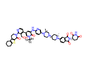 [2H]C([2H])([2H])n1cc(-c2ccnc(N3CCc4c(sc5c4CCCC5)C3=O)c2CO)cc(Nc2ccc(N3CCN([C@@H]4CCN(c5ccc6c(c5)C(=O)N([C@H]5CCC(=O)NC5=O)C6=O)[C@@H](C)C4)C[C@@H]3C)cn2)c1=O